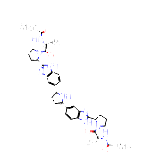 COC(=O)N[C@H](C(=O)N1CCCC1c1nc2cc([C@H]3CC[C@H](c4ccc5[nH]c([C@@H]6CCCN6C(=O)[C@@H](NC(=O)OC)C(C)C)nc5c4)N3)ccc2[nH]1)C(C)C